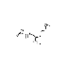 CCCCC(C)SNC(=O)Cl